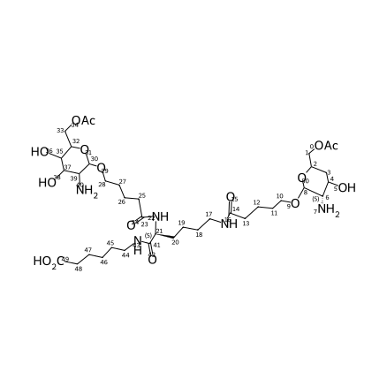 CC(=O)OCC1CC(O)[C@H](N)C(OCCCCC(=O)NCCCC[C@H](NC(=O)CCCCOC2OC(COC(C)=O)C(O)C(O)C2N)C(=O)NCCCCCC(=O)O)O1